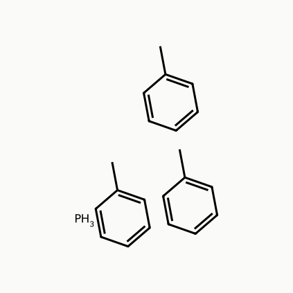 Cc1ccccc1.Cc1ccccc1.Cc1ccccc1.P